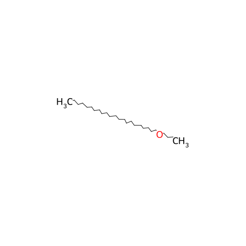 CCCCCCCCCCCCCCCCCCCCCCOCCCC